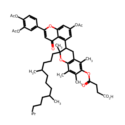 CC(=O)Oc1cc(C2Cc3c(C)c(OC(=O)CCC(=O)O)c(C)c(C)c3OC2(C)CCCC(C)CCCC(C)CCCC(C)C)c2c(=O)cc(-c3ccc(OC(C)=O)c(OC(C)=O)c3)oc2c1